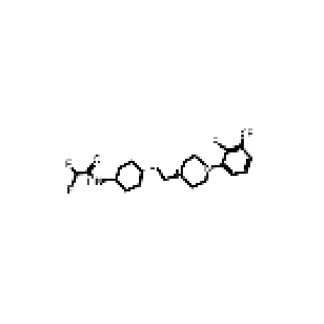 O=C(N[C@H]1CC[C@H](CCN2CCN(c3cccc(C(F)(F)F)c3F)CC2)CC1)C(F)F